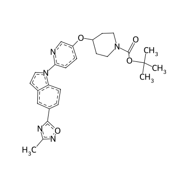 Cc1noc(-c2ccc3c(ccn3-c3ccc(OC4CCN(C(=O)OC(C)(C)C)CC4)cn3)c2)n1